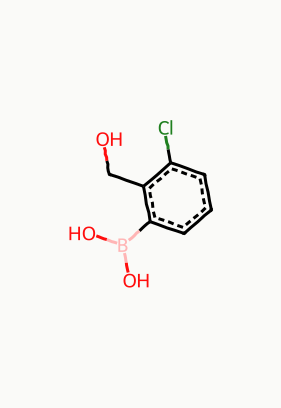 OCc1c(Cl)cccc1B(O)O